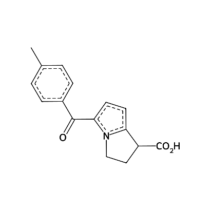 Cc1ccc(C(=O)c2ccc3n2CCC3C(=O)O)cc1